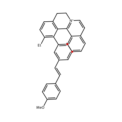 CCc1ccc2c(c1-c1cc(/C=C/c3ccc(OC)cc3)ccn1)-c1c3ccccc3cc[n+]1CC2